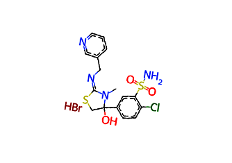 Br.CN1C(=NCc2cccnc2)SCC1(O)c1ccc(Cl)c(S(N)(=O)=O)c1